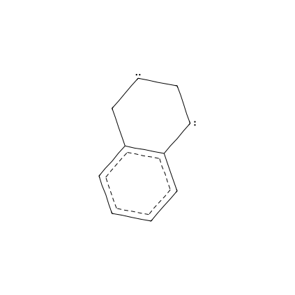 [C]1C[C]c2ccccc2C1